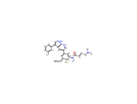 COc1cc(-c2cnc3[nH]cc(-c4cccc(C)c4)c3c2)cc(N(C)C(=O)/C=C/CN(C)C)c1F